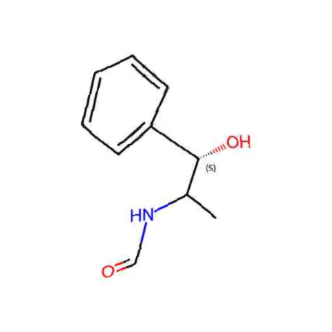 CC(NC=O)[C@@H](O)c1ccccc1